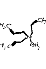 B[N+](CC=C)(CC=C)CC=C